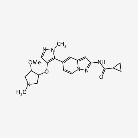 COC1CN(C)CC1Oc1cnn(C)c1-c1ccn2nc(NC(=O)C3CC3)cc2c1